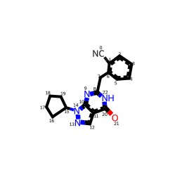 N#Cc1ccccc1Cc1nc2c(cnn2C2CCCC2)c(=O)[nH]1